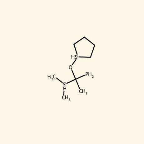 C[SiH](C)C(C)(P)O[SiH]1CCCC1